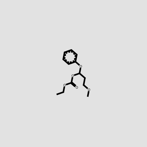 CCOC(=O)OC(CCOC)Oc1ccccc1